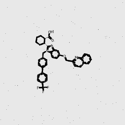 O=C(O)[C@H]1CCCC[C@H]1c1nc2cc(OCc3ccc4ccccc4n3)ccc2n1Cc1ccc(-c2ccc(C(F)(F)F)cc2)cc1